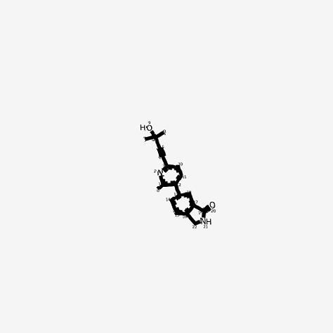 Cc1nc(C#CC(C)(C)O)ccc1-c1ccc2c(c1)C(=O)NC2